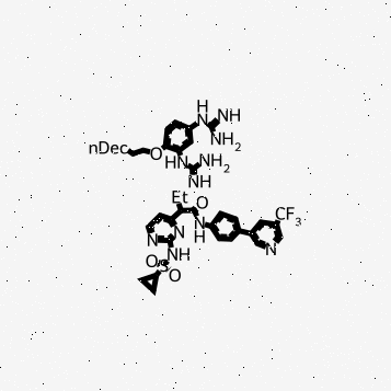 CCC(C(=O)Nc1ccc(-c2cncc(C(F)(F)F)c2)cc1)c1ccnc(NS(=O)(=O)C2CC2)n1.CCCCCCCCCCCCOc1ccc(NC(=N)N)cc1NC(=N)N